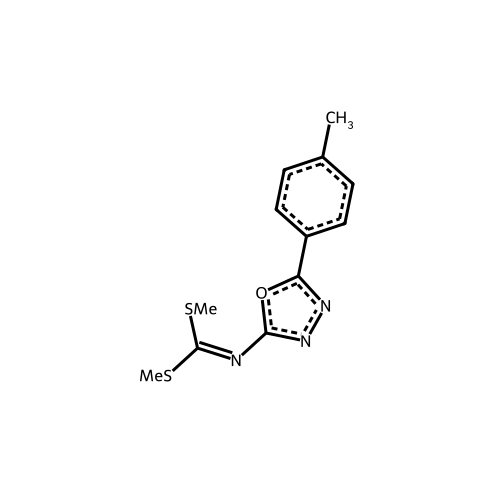 CSC(=Nc1nnc(-c2ccc(C)cc2)o1)SC